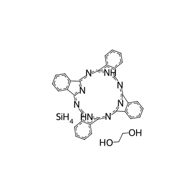 OCCO.[SiH4].c1ccc2c(c1)-c1nc-2nc2[nH]c(nc3nc(nc4[nH]c(n1)c1ccccc41)-c1ccccc1-3)c1ccccc21